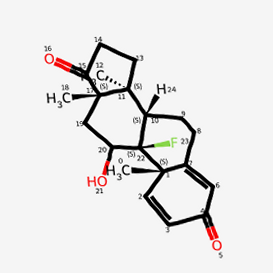 C[C@]12C=CC(=O)C=C1CC[C@H]1[C@]3(C)CCC(=O)[C@@]3(C)CC(O)[C@]12F